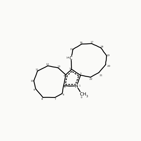 Cn1c2c(c3c1CCCCCCCC3)CCCCCCCCC2